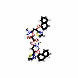 CN(C)C(CC(Oc1cccc2ccccc12)c1nccs1)OC(=O)C(=O)OC(CC(Oc1cccc2ccccc12)c1nccs1)N(C)C